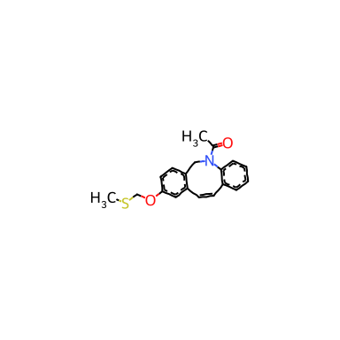 CSCOc1ccc2c(c1)C=Cc1ccccc1N(C(C)=O)C2